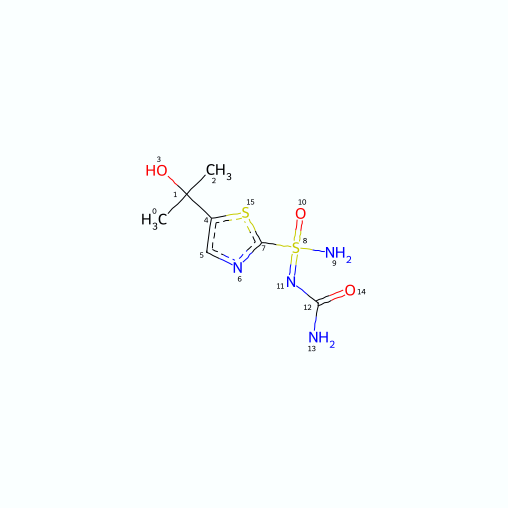 CC(C)(O)c1cnc(S(N)(=O)=NC(N)=O)s1